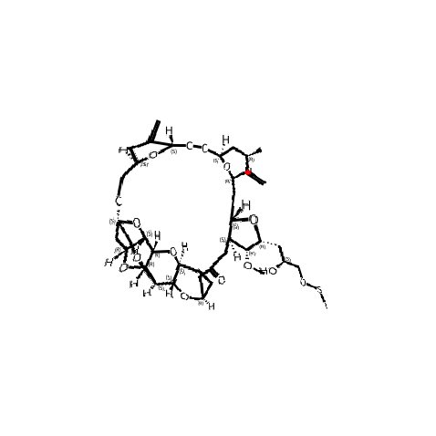 C=C1C[C@@H]2CC[C@@]34C[C@H]5O[C@H]6[C@@H](O3)[C@H]3O[C@H](CC[C@@H]3O[C@H]6[C@H]5O4)CC(=O)C[C@@H]3[C@@H](OC)[C@@H](C[C@H](O)COSI)O[C@H]3C[C@H]3O[C@@H](CC[C@@H]1O2)C[C@@H](C)C3=C